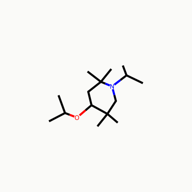 CC(C)OC1CC(C)(C)N(C(C)C)CC1(C)C